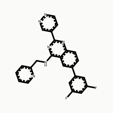 Fc1cc(F)cc(-c2ccc3nc(-c4ccnnc4)nc(NCc4ccccn4)c3c2)c1